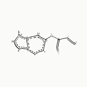 C=CC(=O)Oc1ccc2cc[nH]c2c1